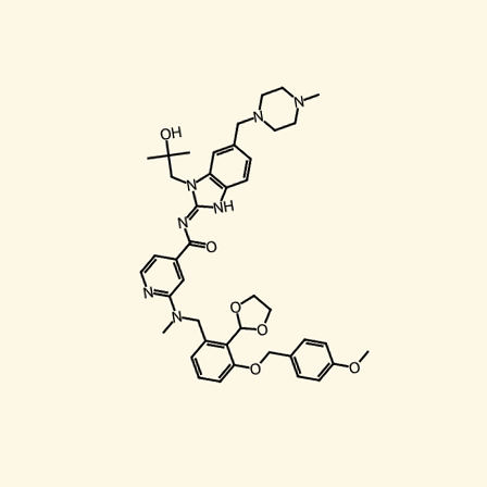 COc1ccc(COc2cccc(CN(C)c3cc(C(=O)/N=c4\[nH]c5ccc(CN6CCN(C)CC6)cc5n4CC(C)(C)O)ccn3)c2C2OCCO2)cc1